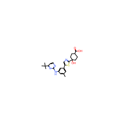 Cc1cc(Nc2nccc(C(C)(C)C)n2)cc(-c2cnc(C3(O)CCC(C(=O)O)CC3)s2)c1